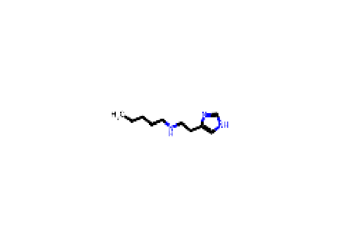 CCCCCNCCc1c[nH]cn1